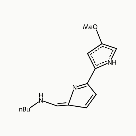 CCCCNC=C1C=CC(c2cc(OC)c[nH]2)=N1